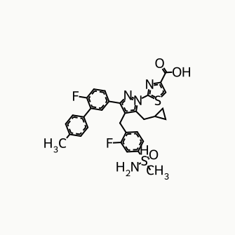 Cc1ccc(-c2cc(-c3nn(-c4nc(C(=O)O)cs4)c(CC4CC4)c3Cc3ccc([SH](C)(N)=O)cc3F)ccc2F)cc1